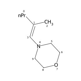 CCCC(C)=CN1CCOCC1